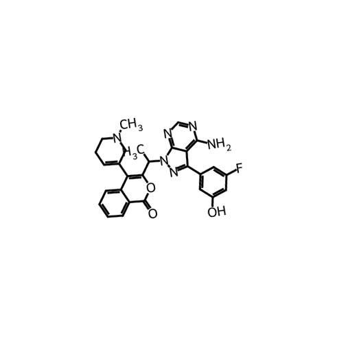 CC(c1oc(=O)c2ccccc2c1C1=CCCN(C)C1)n1nc(-c2cc(O)cc(F)c2)c2c(N)ncnc21